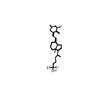 C=C1/C(=C\C=C2/CCCC3(C)C(C(C)CCCC(O)(CC)CC)=CCC23)CC(C)CC1F